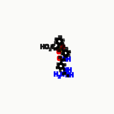 N=C(N)Nc1cccc(C(=O)Nc2cccc(S(=O)(=O)C(CC(=O)O)c3ccccc3)c2)c1